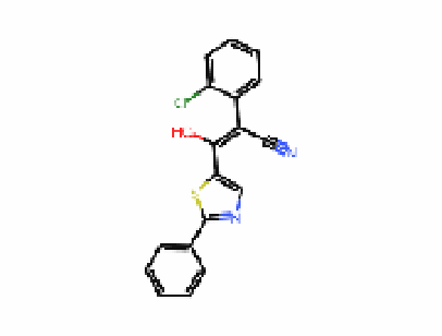 N#CC(=C(O)c1cnc(-c2ccccc2)s1)c1ccccc1Cl